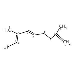 C=C(C)CCC=CC(C)=CI